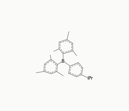 Cc1cc(C)c(B(c2ccc(C(C)C)cc2)c2c(C)cc(C)cc2C)c(C)c1